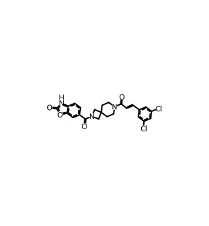 O=C(/C=C/c1cc(Cl)cc(Cl)c1)N1CCC2(CC1)CN(C(=O)c1ccc3[nH]c(=O)oc3c1)C2